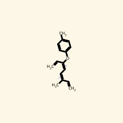 C=C/C(C)=C\C=C(/C=C)Oc1ccc(C)cc1